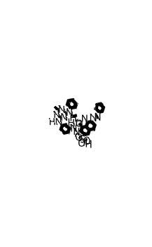 CCN(c1ccccc1)c1nc(C)nc(Nc2cccc(N=Nc3c(S(=O)(=O)O)cc4ccc(N=Nc5ccccc5)c(N)c4c3O)c2)n1